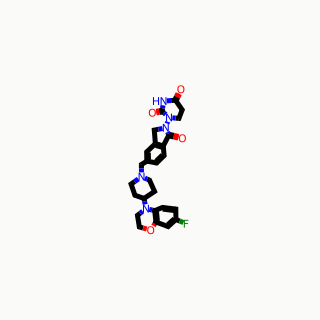 O=C1CCN(N2Cc3cc(CN4CCC(N5CCOc6cc(F)ccc65)CC4)ccc3C2=O)C(=O)N1